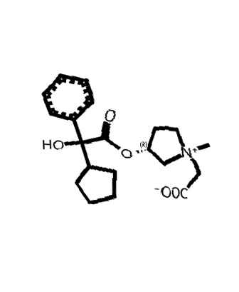 C[N+]1(CC(=O)[O-])CC[C@@H](OC(=O)C(O)(c2ccccc2)C2CCCC2)C1